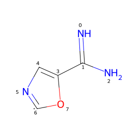 N=C(N)c1cn[c]o1